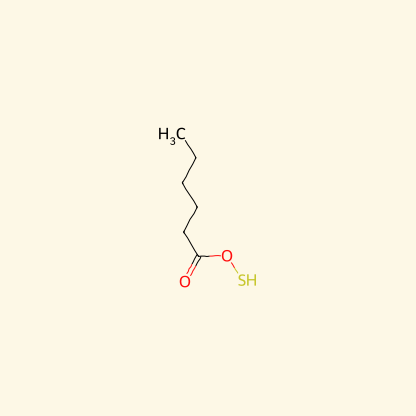 CCCCCC(=O)OS